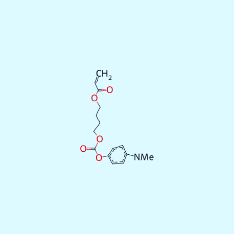 C=CC(=O)OCCCCOC(=O)Oc1ccc(NC)cc1